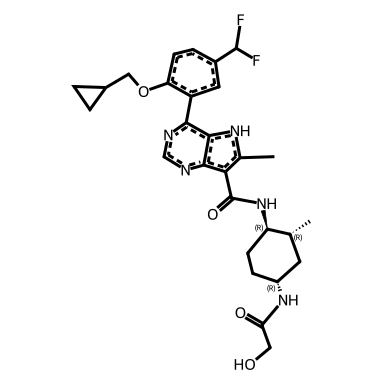 Cc1[nH]c2c(-c3cc(C(F)F)ccc3OCC3CC3)ncnc2c1C(=O)N[C@@H]1CC[C@@H](NC(=O)CO)C[C@H]1C